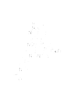 C=CC(=O)N1CC2(CCN(c3nc4c(c(-c5c(C)ccc6[nH]ncc56)c3C#N)C[C@H](CCC)C4)C2)C1